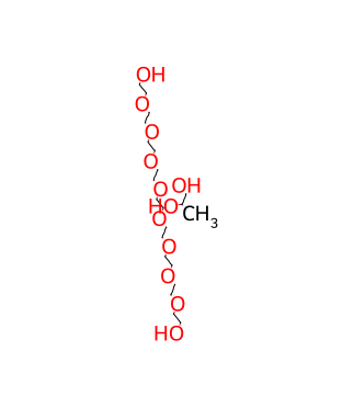 CC(O)CO.OCCOCCOCCOCCOCCOCCOCCOCCOCCO